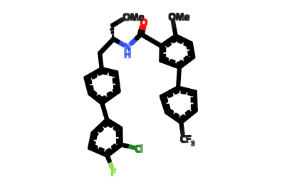 COC[C@@H](Cc1ccc(-c2ccc(F)c(Cl)c2)cc1)NC(=O)c1cc(-c2ccc(C(F)(F)F)cc2)ccc1OC